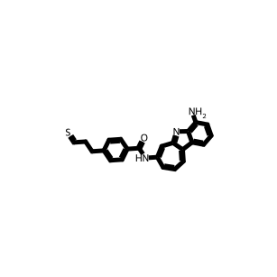 Nc1cccc2c3cccc(NC(=O)c4ccc(CCC=S)cc4)cc-3nc12